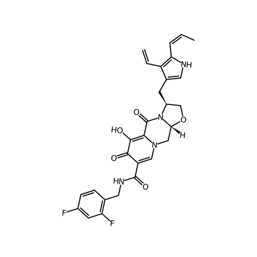 C=Cc1c(C[C@H]2CO[C@@H]3Cn4cc(C(=O)NCc5ccc(F)cc5F)c(=O)c(O)c4C(=O)N23)c[nH]c1/C=C\C